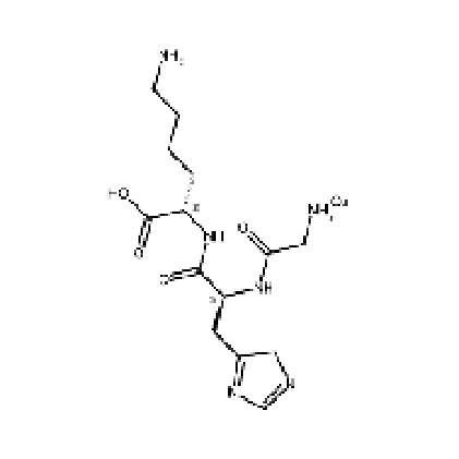 NCCCC[C@H](NC(=O)[C@H](CC1=NC=NC1)NC(=O)CN)C(=O)O.[Cu]